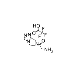 NCC(=O)N1CCn2cnnc2C1.O=C(O)C(F)(F)F